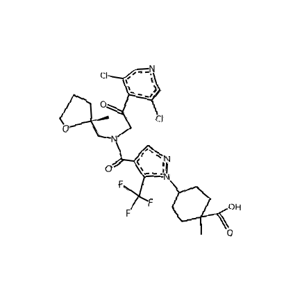 CC1(C(=O)O)CCC(n2ncc(C(=O)N(CC(=O)c3c(Cl)cncc3Cl)C[C@@]3(C)CCCO3)c2C(F)(F)F)CC1